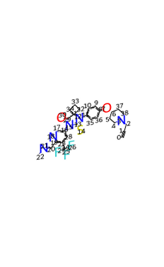 C#CCN1CCC(Oc2ccc(N3C(=S)N(c4cnc(/C=N/C)c(C(F)(F)F)c4)C(=O)C34CCC4)cc2)CC1